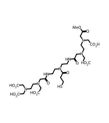 COC(=O)CN(CCN(CC(=O)O)CC(=O)NCCN(CCNC(=O)CN(CCN(CC(=O)O)CC(=O)O)CC(=O)O)C(=O)CCS)CC(=O)O